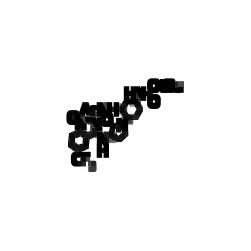 CC(=O)N[C@@H]1C[C@H](NC(=O)OC(C)(C)C)CC[C@@H]1N1CC[C@H](Nc2nc[n+]([O-])c3ccc(C(F)(F)F)cc23)C1=O